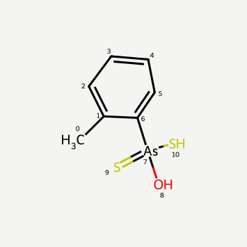 Cc1ccccc1[As](O)(=S)S